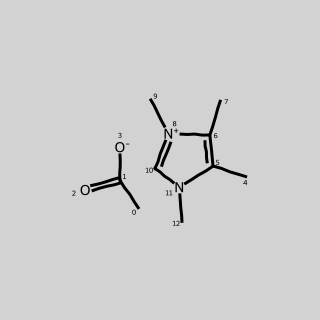 CC(=O)[O-].Cc1c(C)[n+](C)cn1C